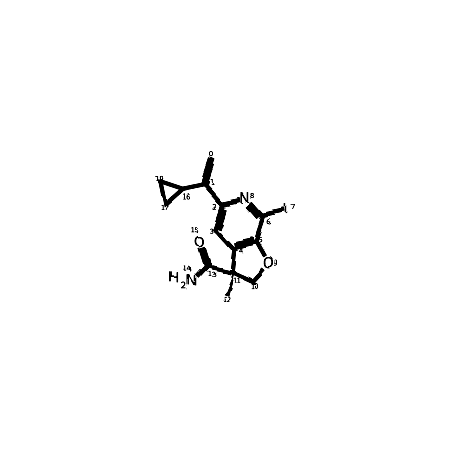 C=C(c1cc2c(c(I)n1)OC[C@]2(C)C(N)=O)C1CC1